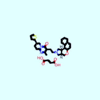 Cc1nc2ccc(-c3cccs3)cn2c(=O)c1CCN1C[C@H]2COc3ccc4ccccc4c3[C@H]2C1.O=C(O)/C=C/C(=O)O